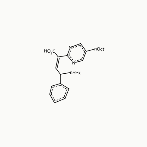 CCCCCCCCc1cnc(/C(=C\C(CCCCCC)c2ccccc2)C(=O)O)nc1